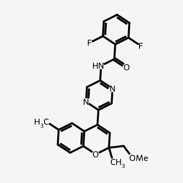 COCC1(C)C=C(c2cnc(NC(=O)c3c(F)cccc3F)cn2)c2cc(C)ccc2O1